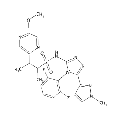 COc1cnc(C(C)C(C)S(=O)(=O)Nc2nnc(-c3ccn(C)n3)n2-c2c(F)cccc2F)cn1